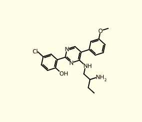 CCC(N)CNc1nc(-c2cc(Cl)ccc2O)ncc1-c1cccc(OC)c1